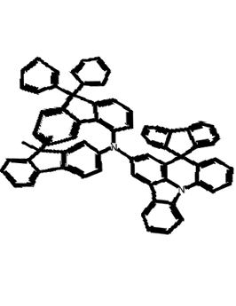 CC1(C)c2ccccc2-c2ccc(N(c3cc4c5c(c3)c3ccccc3n5-c3ccccc3C43c4ccccc4-c4ccccc43)c3cccc4c3-c3ccccc3C4(c3ccccc3)c3ccccc3)cc21